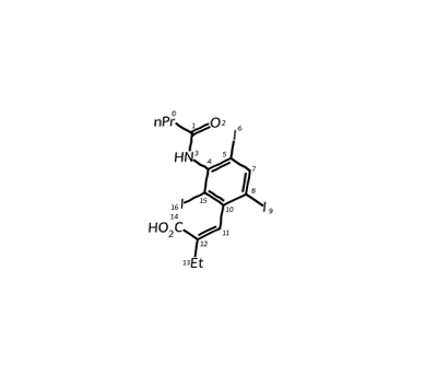 CCCC(=O)Nc1c(I)cc(I)c(C=C(CC)C(=O)O)c1I